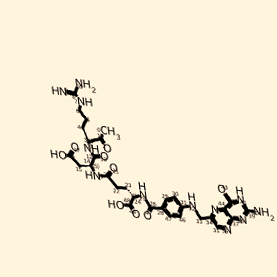 CC(=O)[C@H](CCCNC(=N)N)NC(=O)[C@H](CC(=O)O)NC(=O)CC[C@H](NC(=O)c1ccc(NCc2cnc3nc(N)[nH]c(=O)c3n2)cc1)C(=O)O